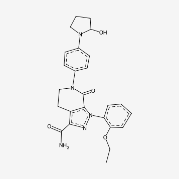 CCOc1ccccc1-n1nc(C(N)=O)c2c1C(=O)N(c1ccc(N3CCCC3O)cc1)CC2